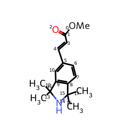 COC(=O)C=Cc1ccc2c(c1)C(C)(C)NC2(C)C